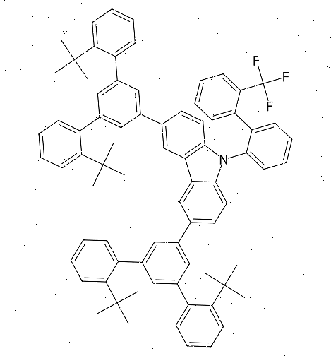 CC(C)(C)c1ccccc1-c1cc(-c2ccc3c(c2)c2cc(-c4cc(-c5ccccc5C(C)(C)C)cc(-c5ccccc5C(C)(C)C)c4)ccc2n3-c2ccccc2-c2ccccc2C(F)(F)F)cc(-c2ccccc2C(C)(C)C)c1